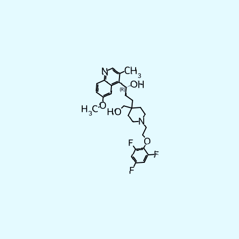 COc1ccc2ncc(C)c([C@H](O)CCC3(CO)CCN(CCOc4c(F)cc(F)cc4F)CC3)c2c1